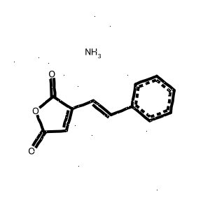 N.O=C1C=C(C=Cc2ccccc2)C(=O)O1